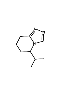 CC(C)C1CCCc2nncn21